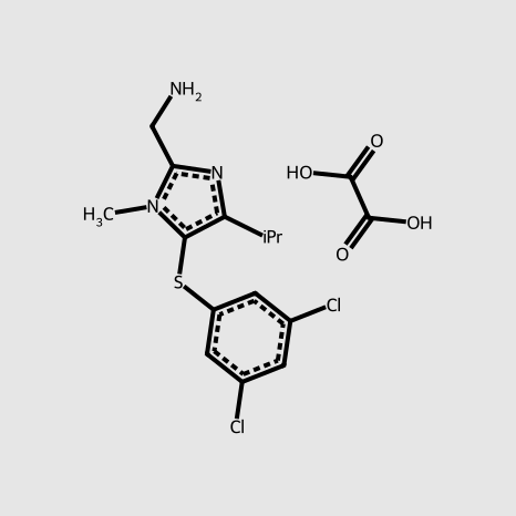 CC(C)c1nc(CN)n(C)c1Sc1cc(Cl)cc(Cl)c1.O=C(O)C(=O)O